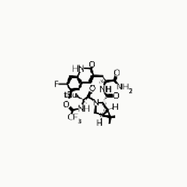 Cc1cc2cc(C[C@H](NC(=O)[C@@H]3[C@@H]4[C@H](CN3C(=O)[C@@H](NC(=O)C(F)(F)F)C(C)(C)C)C4(C)C)C(N)=O)c(=O)[nH]c2cc1F